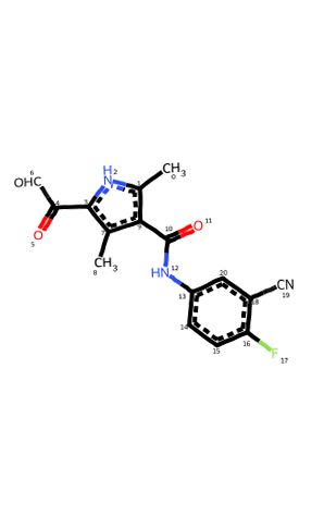 Cc1[nH]c(C(=O)C=O)c(C)c1C(=O)Nc1ccc(F)c(C#N)c1